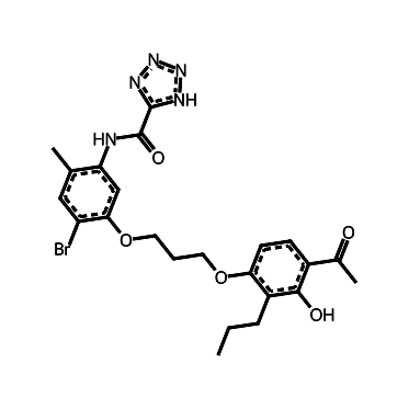 CCCc1c(OCCCOc2cc(NC(=O)c3nnn[nH]3)c(C)cc2Br)ccc(C(C)=O)c1O